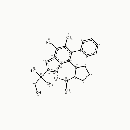 Cc1c(-c2ccccc2)c(N2CCCC2N(C)C)n2nc(C(C)(C)CO)nc2c1C#N